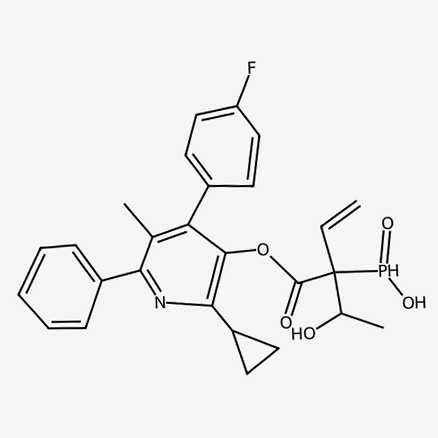 C=CC(C(=O)Oc1c(C2CC2)nc(-c2ccccc2)c(C)c1-c1ccc(F)cc1)(C(C)O)[PH](=O)O